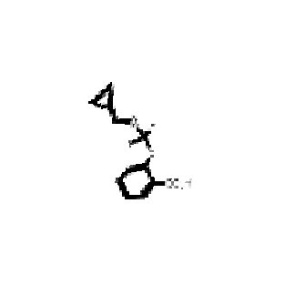 O=C(O)c1ccccc1OC(F)(F)OCC1CC1